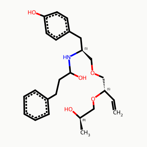 C=C[C@@H](COC[C@H](Cc1ccc(O)cc1)NC(O)CCc1ccccc1)OC[C@@H](C)O